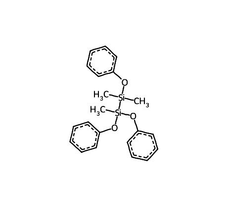 C[Si](C)(Oc1ccccc1)[Si](C)(Oc1ccccc1)Oc1ccccc1